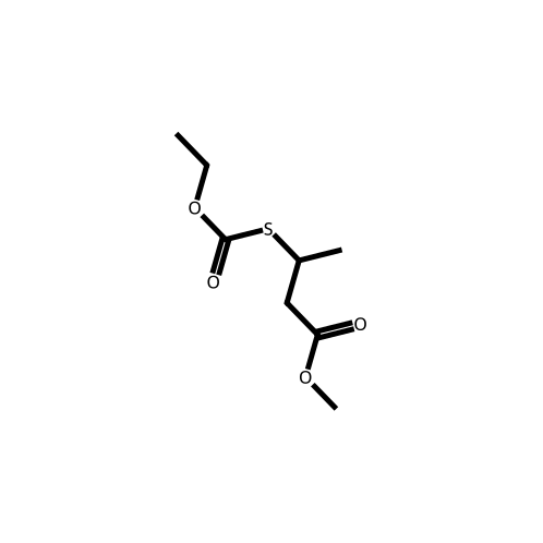 CCOC(=O)SC(C)CC(=O)OC